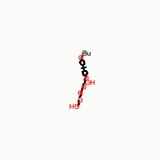 CC[C@@H](C)COc1ccc(C(C)(C)c2ccc(OC[C@H](O)COCCOCCOCCO)cc2)cc1